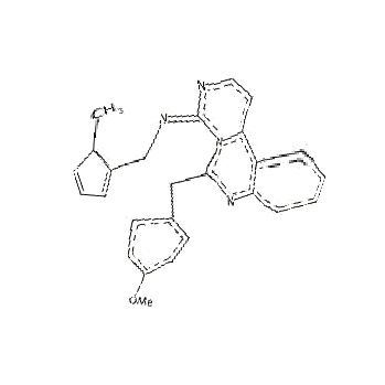 COc1ccc(Cc2nc3ccccc3c3ccn/c(=N/CC4=CC=CC4C)n23)cc1